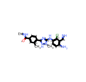 CCNC(=O)c1ccc(C2N=C(Nc3ccc(N)c(C=N)c3Cl)N(C)N2)c(C)c1